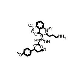 COc1ccc(C(CC#N)OC(=O)NN(O)[C@@H](CCCCN)C(=O)c2c([N+](=O)[O-])cccc2[N+](=O)[O-])cc1